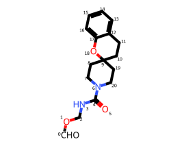 O=COCNC(=O)N1CCC2(CCc3ccccc3O2)CC1